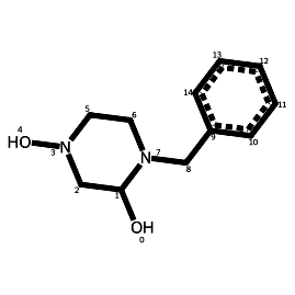 OC1CN(O)CCN1Cc1ccccc1